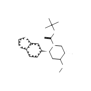 COC1C[C@@H](c2ccc3scnc3c2)N(C(=O)OC(C)(C)C)C[C@@H]1C